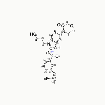 O=C(/N=c1\[nH]c2cc(N3CCOCC3=O)ccc2n1CCCO)c1cccc(OC(F)F)c1